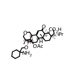 CC(=O)O[C@@H]1C[C@@]23COC[C@](C)([C@@H]2CC[C@H]2C3=CC(=O)[C@@]3(C)[C@H](C(=O)O)[C@@](C)([C@H](C)C(C)C)CC[C@]23C)[C@H]1OCC1(N)CCCCC1